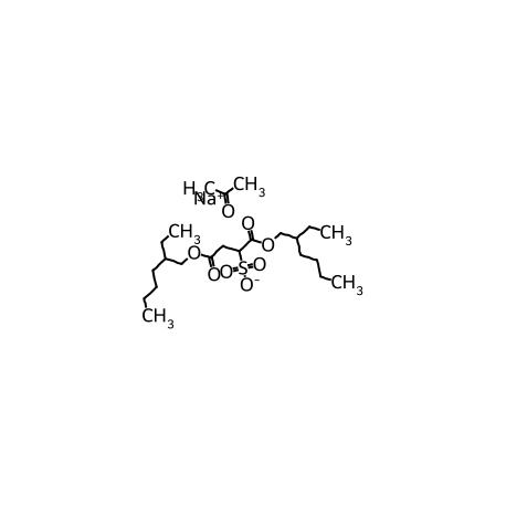 CC(C)=O.CCCCC(CC)COC(=O)CC(C(=O)OCC(CC)CCCC)S(=O)(=O)[O-].[Na+]